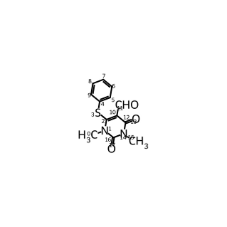 Cn1c(Sc2ccccc2)c(C=O)c(=O)n(C)c1=O